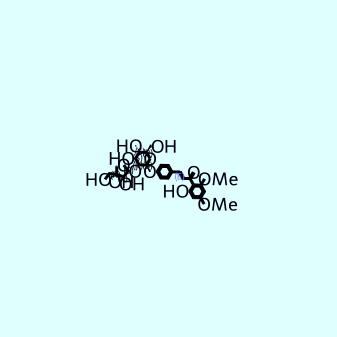 COc1cc(O)c(C(=O)/C=C/c2ccc(O[C@@H]3O[C@H](CO)[C@@H](O)[C@H](O)[C@H]3O[C@@H]3OC[C@](O)(CO)[C@H]3O)cc2)c(OC)c1